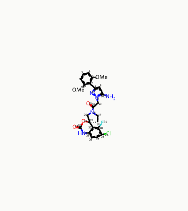 COc1cccc(OC)c1-c1cc(N)n(CC(=O)N2CC[C@@]3(C2)OC(=O)Nc2ccc(Cl)c(F)c23)n1